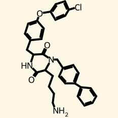 NCCCCC1C(=O)NC(Cc2ccc(Oc3ccc(Cl)cc3)cc2)C(=O)N1Cc1ccc(-c2ccccc2)cc1